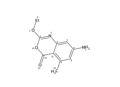 CCOc1nc2cc(N)cc(C)c2c(=O)o1